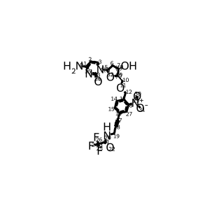 Nc1ccn([C@H]2C[C@H](O)[C@@H](COCc3ccc(C#CCNC(=O)C(F)(F)F)cc3[N+](=O)[O-])O2)c(=O)n1